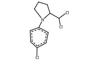 Clc1ccc(N2CCCC2C(Cl)Cl)cc1